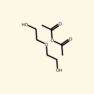 CC(=O)OC(C)=O.OCCOCCO